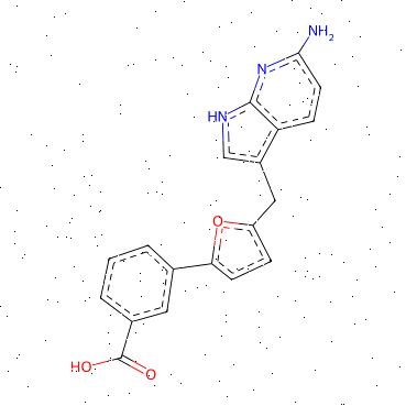 Nc1ccc2c(Cc3ccc(-c4cccc(C(=O)O)c4)o3)c[nH]c2n1